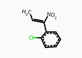 CC=C(c1ccccc1Cl)[N+](=O)[O-]